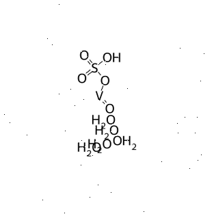 O.O.O.O.O.[O]=[V][O]S(=O)(=O)O